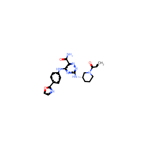 C=CC(=O)N1CCC[C@H](Nc2nnc(C(N)=O)c(Nc3ccc(-c4ncco4)cc3)n2)C1